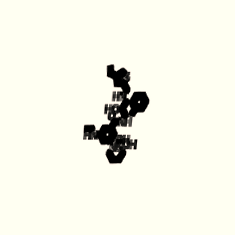 CCNc1cc(C(=O)N[C@@H](Cc2ccccc2)[C@H](O)CNCc2cc(CC)cs2)cc(N2CCCCS2(O)O)c1